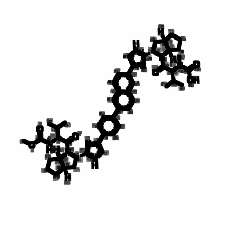 COC(=O)N[C@H](C(=O)N1[C@H](c2nc(-c3ccc(-c4ccc5cc(-c6c[nH]c([C@@H]7C[C@@H]8CCC[C@@H]8N7C(=O)[C@H](C(C)C)N(C)C(=O)O)n6)ccc5c4)cc3)c[nH]2)C[C@@H]2CCC[C@@H]21)C(C)C